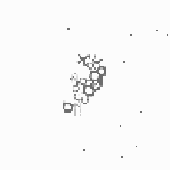 CC(C1OCC(C)(C)CO1)[C@H]1CC[C@H]2C3=CC=C4CC(OC(=O)Nc5ccccc5)CC(OC(=O)N(C)C)[C@]4(C)[C@H]3CC[C@]12C